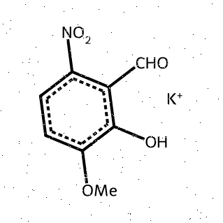 COc1ccc([N+](=O)[O-])c(C=O)c1O.[K+]